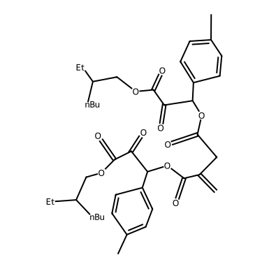 C=C(CC(=O)OC(C(=O)C(=O)OCC(CC)CCCC)c1ccc(C)cc1)C(=O)OC(C(=O)C(=O)OCC(CC)CCCC)c1ccc(C)cc1